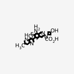 Cc1c(-c2cc3cc(N(C(=O)O)C4CC(O)C4)ncc3c(N)c2F)cnc2c1NC[C@@H](C)C2